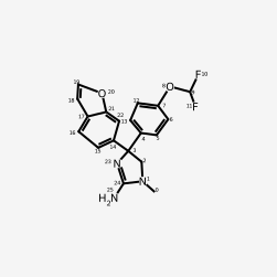 CN1CC(c2ccc(OC(F)F)cc2)(c2ccc3ccoc3c2)N=C1N